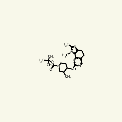 Cc1nc2c(n1C)-c1nc(NC3CCN(C(=O)OC(C)(C)C)CC3C)ncc1CC2